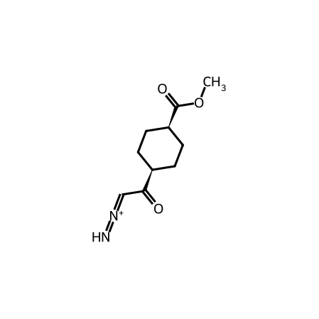 COC(=O)[C@H]1CC[C@@H](C(=O)C=[N+]=N)CC1